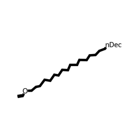 C=COCCCCCCCCCCCCCCCCCCCCCCCCCCC